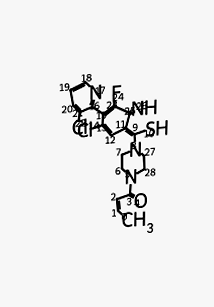 C/C=C\C(=O)N1CCN(/C(S)=C2\C=C(Cl)C(c3ncccc3Cl)=C(F)C2=N)CC1